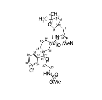 CNC[C@H](C[C@H]1CCC(C)(C)OC1)NC(=O)N1CCC[C@@H]([C@@H](OCCNC(=O)OC)c2cccc(Cl)c2)C1